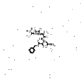 CC(C)N[C@@H](C)C(=O)N[C@@H](C)C(=O)N[C@@H](CC(N)=O)C(=O)C(=O)OCc1ccccc1